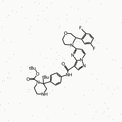 CC(C)(C)OC(=O)N1CCNCC1(c1ccc(NC(=O)c2cnn3ccc(N4CCOCC4c4cc(F)ccc4F)nc23)cc1)C(C)(C)C